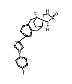 O=S1(=O)NC[C@]2(N1)[C@@H]1CC[C@H]2Cc2ccc(-c3cn(-c4ccc(F)cc4)cn3)cc2C1